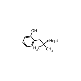 CCCCCCCC(C)(C)Cc1ccccc1O